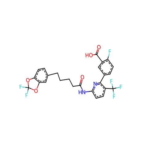 O=C(CCCCc1ccc2c(c1)OC(F)(F)O2)Nc1ccc(C(F)(F)F)c(-c2ccc(F)c(C(=O)O)c2)n1